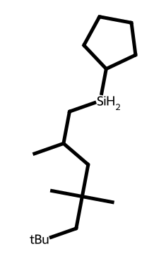 CC(C[SiH2]C1CCCC1)CC(C)(C)CC(C)(C)C